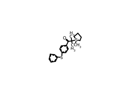 CC(C)(C(=O)c1ccc(Sc2ccccc2)cc1)S1(C)CCCC1